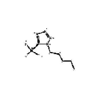 CCCCCn1nnnc1C(F)(F)F